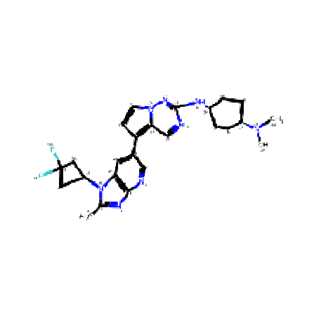 Cc1nc2ncc(-c3ccn4nc(N[C@H]5CC[C@H](N(C)C)CC5)ncc34)cc2n1C1CC(F)(F)C1